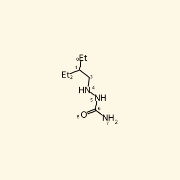 CCC(CC)CNNC(N)=O